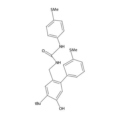 CSc1ccc(NC(=O)NCc2cc(C(C)(C)C)c(O)cc2-c2cccc(SC)c2)cc1